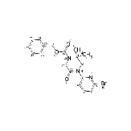 CC1(C)CN(c2cccc(Br)n2)C(=O)CN1C(=O)OCc1ccccc1